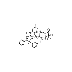 CC(C)CC(NC(=O)OC(c1ccccc1)C(C)(C)c1cccc(Cl)c1)C(=O)NC(CC1CC(C)(C)NC1=O)C(=O)O